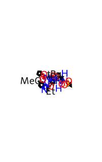 C=C[C@@H]1C[C@]1(NC(=O)[C@@H]1C[C@@H](Oc2nc3cc(OC)ccc3nc2CC)CN1C(=O)[C@@H](NC(=O)OC1CCCC1)C(C)(C)C)C(=O)NS(=O)(=O)C1(C)CC1